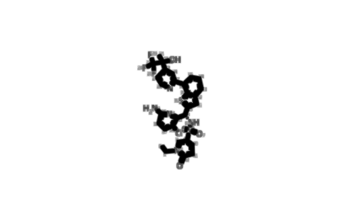 CCn1cc(S(=O)(=O)N[C@@H](c2cc3cccc(-c4cc(C(C)(O)C(F)(F)F)ccn4)c3s2)c2nc(N)ccc2Cl)ccc1=O